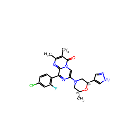 Cc1nc2c(-c3ccc(Cl)cc3F)nc(N3C[C@@H](C)O[C@H](c4cn[nH]c4)C3)cn2c(=O)c1C